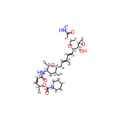 CNC(=O)C[C@@H]1C[C@@]2(CO2)[C@H](O)[C@@H](/C=C/C(C)=C/C[C@@H]2O[C@H](C)[C@H](NC(=O)/C=C\[C@H](C)OC(=O)N3CCCCC3)C[C@@H]2C)O1